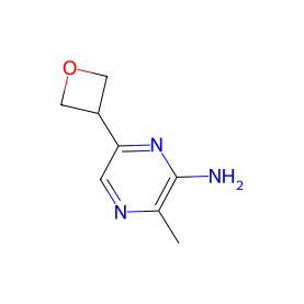 Cc1ncc(C2COC2)nc1N